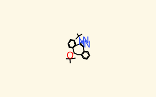 CC(C)(C)OC1Cc2ccccc2-c2nnn(C(C)(C)C)c2-c2ccccc21